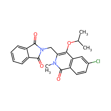 CC(C)Oc1c(CN2C(=O)c3ccccc3C2=O)n(C)c(=O)c2ccc(Cl)cc12